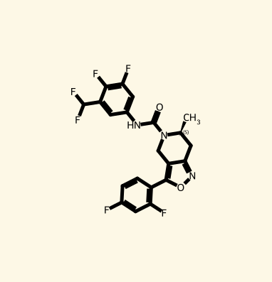 C[C@H]1Cc2noc(-c3ccc(F)cc3F)c2CN1C(=O)Nc1cc(F)c(F)c(C(F)F)c1